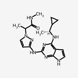 CNC(=O)C(C)n1ccc(Nc2nc(N[C@H](C)C3CC3)c3cc[nH]c3n2)n1